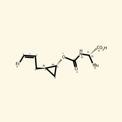 CC/C=C\C[C@@H]1C[C@H]1OC(=O)N[C@H](C(=O)O)C(C)(C)C